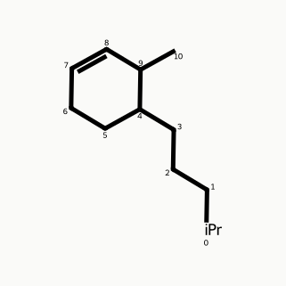 CC(C)CCCC1CCC=CC1C